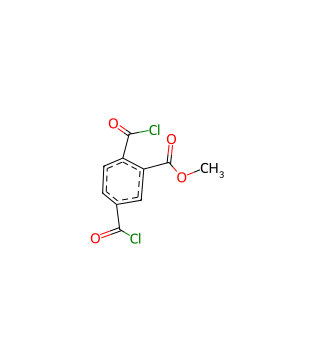 COC(=O)c1cc(C(=O)Cl)ccc1C(=O)Cl